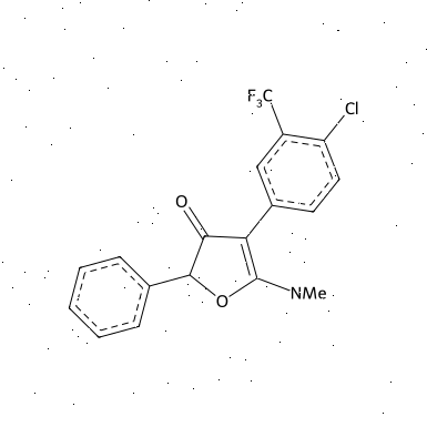 CNC1=C(c2ccc(Cl)c(C(F)(F)F)c2)C(=O)C(c2ccccc2)O1